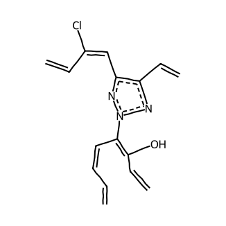 C=C/C=C\C(=C(\O)C=C)n1nc(C=C)c(/C=C(/Cl)C=C)n1